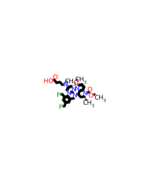 CCOC(=O)N1c2ccc(OC)nc2[C@@H](N(Cc2cc(CF)cc(CF)c2)c2ncc(N(C)CCCC(=O)O)cn2)C[C@H]1CC